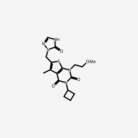 COCCn1c(=O)n(C2CCC2)c(=O)c2c(C)c(Cn3nc[nH]c3=O)sc21